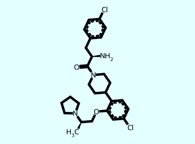 C[C@H](COc1cc(Cl)ccc1C1CCN(C(=O)[C@H](N)Cc2ccc(Cl)cc2)CC1)N1CCCC1